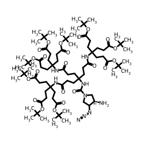 CC(C)(C)OC(=O)CCC(CCC(=O)OC(C)(C)C)(CCC(=O)OC(C)(C)C)NC(=O)CCC(CCC(=O)NC(CCC(=O)OC(C)(C)C)(CCC(=O)OC(C)(C)C)CCC(=O)OC(C)(C)C)(CCC(=O)NC(CCC(=O)OC(C)(C)C)(CCC(=O)OC(C)(C)C)CCC(=O)OC(C)(C)C)NC(=O)N1CC(N=[N+]=[N-])[C@H](N)C1